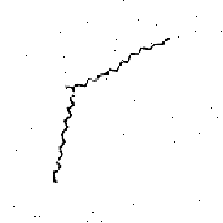 CCCCCCCCCCCCCCCCCC(C)CCCCCCCCCCCCCCC